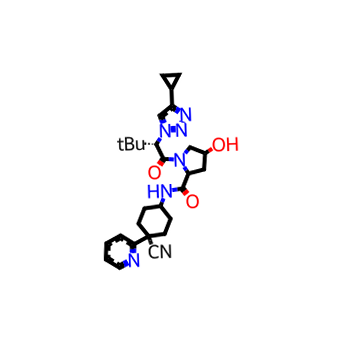 CC(C)(C)[C@@H](C(=O)N1CC(O)CC1C(=O)NC1CCC(C#N)(c2ccccn2)CC1)n1cc(C2CC2)nn1